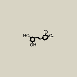 COc1ccc(/C=C/c2cc(O)cc(O)c2)cc1OC